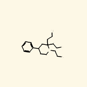 NCCN1CCC(c2ccccc2)CC1(CCN)CCN